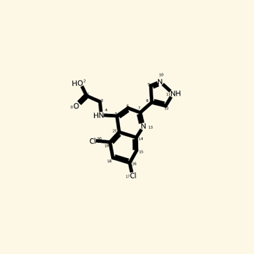 O=C(O)CNc1cc(-c2cn[nH]c2)nc2cc(Cl)cc(Cl)c12